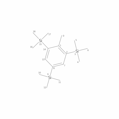 Cc1c([Si](C)(C)C)cc([Si](C)(C)C)cc1[Si](C)(C)C